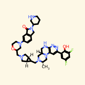 C[C@H]1CN2c3cc(-c4cc(F)cc(F)c4O)nnc3NC[C@H]2CN1CC1[C@H]2CN(CC3CN(c4ccc5c(c4)C(=O)N(C4CCCNC4)C5)CCO3)C[C@@H]12